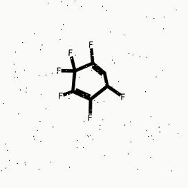 FC1=CC(F)C(F)=C(F)C1(F)F